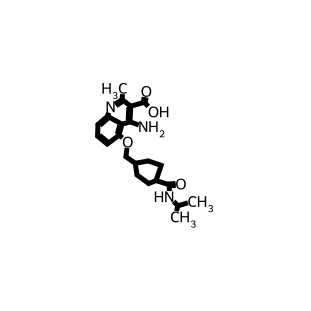 Cc1nc2cccc(OCC3CCC(C(=O)NC(C)C)CC3)c2c(N)c1C(=O)O